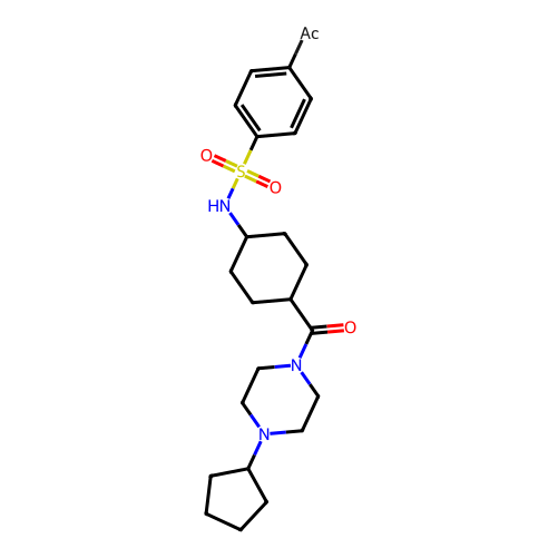 CC(=O)c1ccc(S(=O)(=O)NC2CCC(C(=O)N3CCN(C4CCCC4)CC3)CC2)cc1